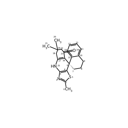 Cc1nc2c(s1)[C@@]1(CCCc3ccccc31)C1=C(CC(C)(C)CC1=O)N2